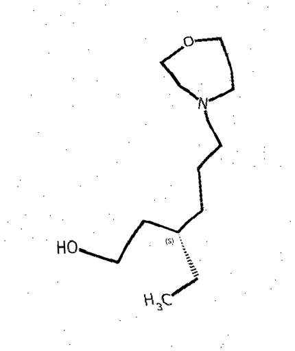 CC[C@H](CCO)CCCN1CCOCC1